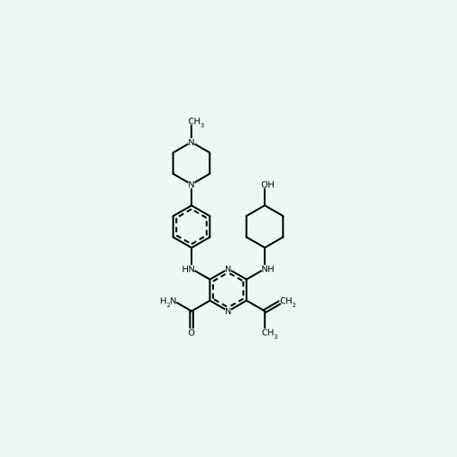 C=C(C)c1nc(C(N)=O)c(Nc2ccc(N3CCN(C)CC3)cc2)nc1NC1CCC(O)CC1